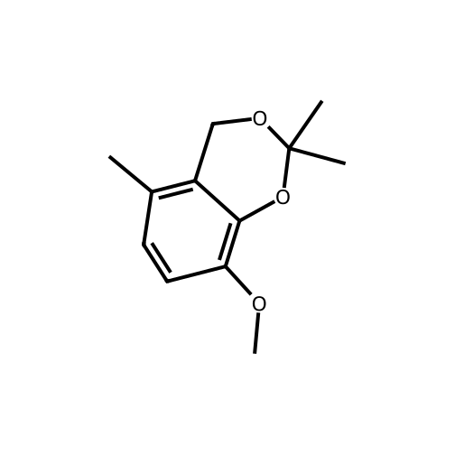 COc1ccc(C)c2c1OC(C)(C)OC2